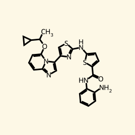 CC(Oc1cccc2ncc(-c3csc(Nc4ccc(C(=O)Nc5ccccc5N)s4)n3)n12)C1CC1